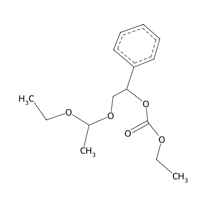 CCOC(=O)OC(COC(C)OCC)c1ccccc1